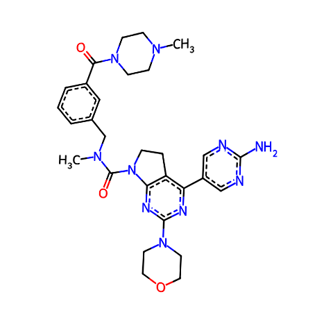 CN1CCN(C(=O)c2cccc(CN(C)C(=O)N3CCc4c(-c5cnc(N)nc5)nc(N5CCOCC5)nc43)c2)CC1